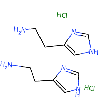 Cl.Cl.NCCc1c[nH]cn1.NCCc1c[nH]cn1